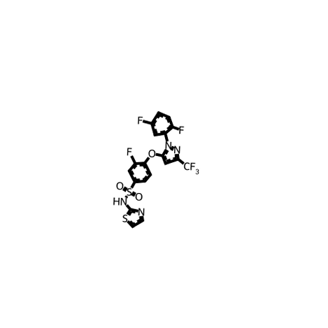 O=S(=O)(Nc1nccs1)c1ccc(Oc2cc(C(F)(F)F)nn2-c2cc(F)ccc2F)c(F)c1